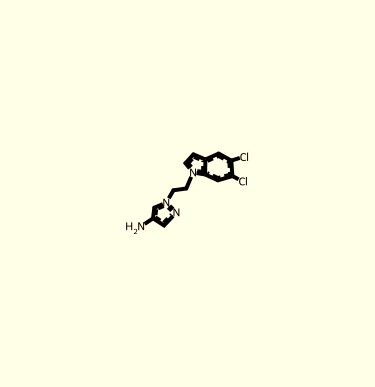 Nc1cnn(CCn2ccc3cc(Cl)c(Cl)cc32)c1